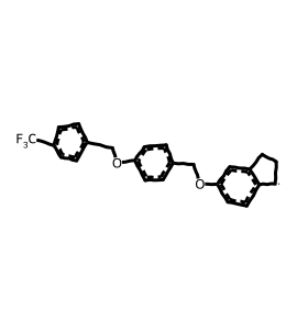 FC(F)(F)c1ccc(COc2ccc(COc3ccc4c(c3)CC[CH]4)cc2)cc1